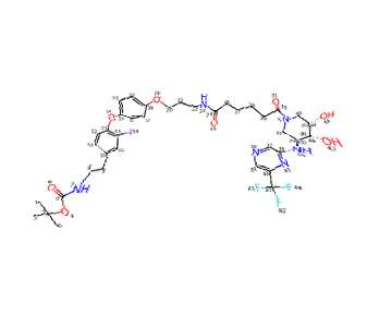 CC(C)(C)OC(=O)NCCc1ccc(Oc2ccc(OCCCNC(=O)CCCCC(=O)N3C[C@H](Nc4cncc(C(F)(F)F)n4)[C@@H](O)[C@@H](O)C3)cc2)c(I)c1